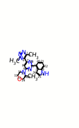 Cc1nnn(C)c1-c1cc(N2CCOC[C@H]2C)nc(-c2cccc3[nH]ccc23)n1